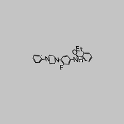 CCc1ccccc1C(=O)Nc1ccc(N2CCN(c3[c]cccc3)CC2)c(F)c1